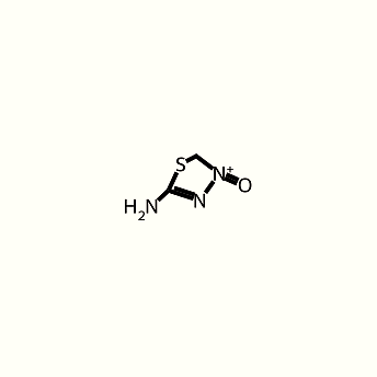 NC1=N[N+](=O)CS1